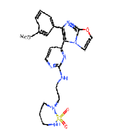 COc1cccc(-c2nc3occn3c2-c2ccnc(NCCN3CCCNS3(=O)=O)n2)c1